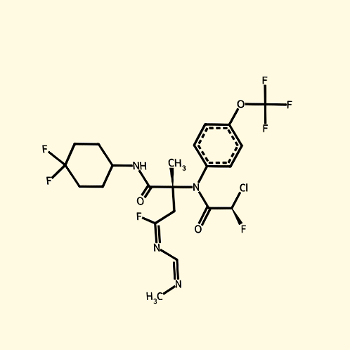 C/N=C\N=C(\F)C[C@](C)(C(=O)NC1CCC(F)(F)CC1)N(C(=O)[C@H](F)Cl)c1ccc(OC(F)(F)F)cc1